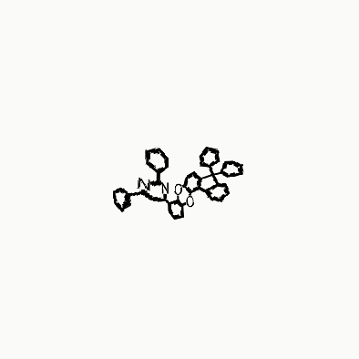 c1ccc(-c2cc(-c3cccc4c3Oc3ccc5c(c3O4)-c3ccccc3C5(c3ccccc3)c3ccccc3)nc(-c3ccccc3)n2)cc1